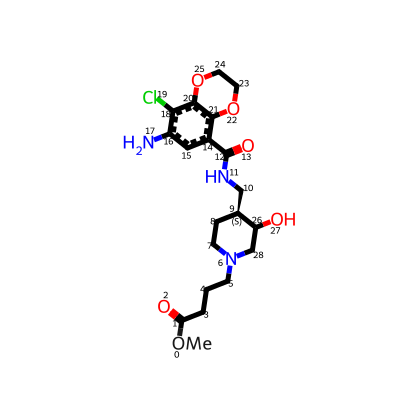 COC(=O)CCCN1CC[C@@H](CNC(=O)c2cc(N)c(Cl)c3c2OCCO3)C(O)C1